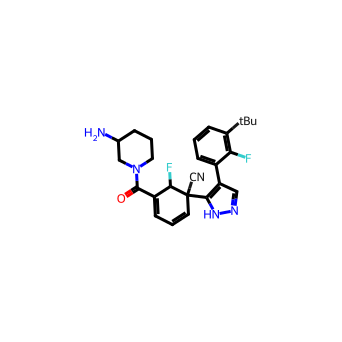 CC(C)(C)c1cccc(-c2cn[nH]c2C2(C#N)C=CC=C(C(=O)N3CCCC(N)C3)C2F)c1F